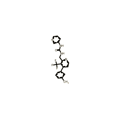 Cc1cccc(-c2ccnc(CNC(=O)Nc3cccnc3)c2C(F)(F)F)c1